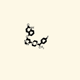 C[C@H](c1ccc(F)cc1)N1CCN(c2cc(Oc3cccc4[nH]c(=O)ccc34)ncn2)CC1